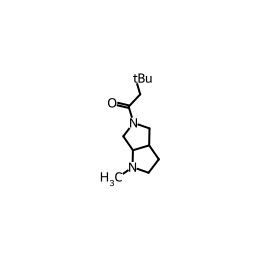 CN1CCC2CN(C(=O)CC(C)(C)C)CC21